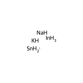 [InH3].[KH].[NaH].[SnH2]